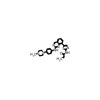 C=CC(=O)Nc1ncc(-c2cccc3cnc(Nc4ccc(N5CCN(C)CC5)cc4)nc23)s1